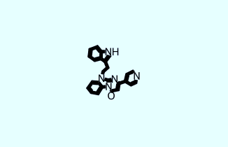 O=c1cc(-c2ccncc2)nc2n(CCc3c[nH]c4ccccc34)c3ccccc3n12